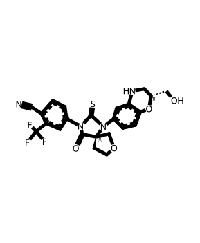 N#Cc1ccc(N2C(=O)[C@]3(CCOC3)N(c3ccc4c(c3)NC[C@H](CO)O4)C2=S)cc1C(F)(F)F